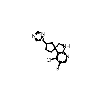 Clc1c(Br)cnc2c1C1(CCC(n3cncn3)C1)CN2